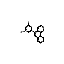 N#Cc1cc(Cl)cc(-c2cc3ccccc3c3ccccc23)c1